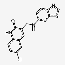 O=c1[nH]c2ccc(Cl)cc2cc1CNc1ccc2ncsc2c1